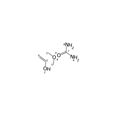 C=CO.COC.NC(N)=O